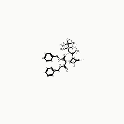 CC(O[Si](C)(C)C(C)(C)C)[C@H]1C(=O)N[C@@H]1C(C(=O)OCc1ccccc1)C(=O)OCc1ccccc1